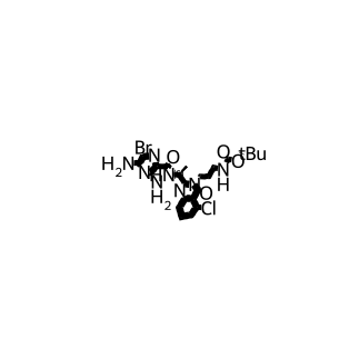 C[C@H](NC(=O)c1nc(Br)c(N)nc1N)c1nc2cccc(Cl)c2c(=O)n1CCCNC(=O)OC(C)(C)C